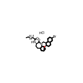 CCN[C@@H](C)C(=O)N[C@H]1CCc2ccccc2N(Cc2c(OC)ccc3cc(Br)ccc23)C1=O.Cl